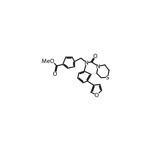 COC(=O)c1ccc(CN(C(=O)N2CCSCC2)c2cccc(-c3ccoc3)c2)cc1